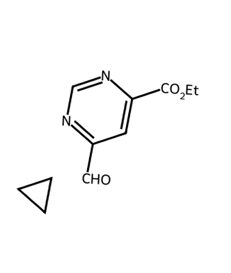 C1CC1.CCOC(=O)c1cc(C=O)ncn1